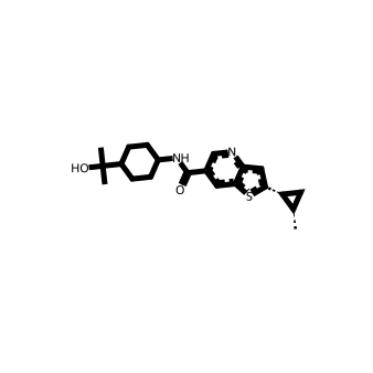 C[C@H]1C[C@H]1c1cc2ncc(C(=O)NC3CCC(C(C)(C)O)CC3)cc2s1